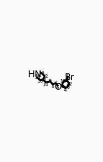 Brc1cccc(OCCCCC2CCNCC2)c1